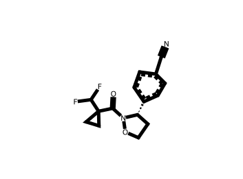 N#Cc1ccc([C@@H]2CCON2C(=O)C2(C(F)F)CC2)cc1